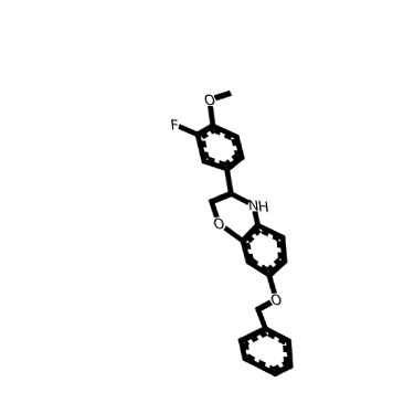 COc1ccc(C2COc3cc(OCc4ccccc4)ccc3N2)cc1F